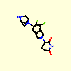 O=C1CCC(n2cc3cc(N4CC5CC4CN5)c(F)c(F)c3c2)C(=O)N1